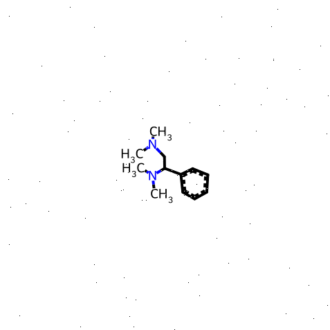 CN(C)CC(c1ccccc1)N(C)C